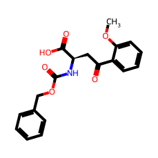 COc1ccccc1C(=O)C[C@@H](NC(=O)OCc1ccccc1)C(=O)O